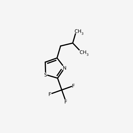 CC(C)Cc1csc(C(F)(F)F)n1